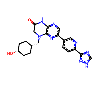 O=C1CN(C[C@H]2CC[C@@H](O)CC2)c2nc(-c3ccc(-c4nc[nH]n4)nc3)cnc2N1